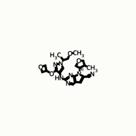 COCC(C)n1cc(Nc2ncc3cc(C#N)n([C@H]4COCC4C)c3n2)c(OC2COC2)n1